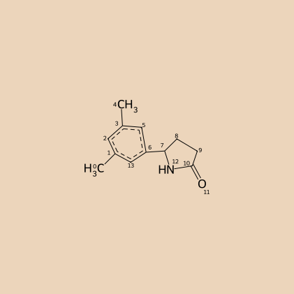 Cc1cc(C)cc(C2CCC(=O)N2)c1